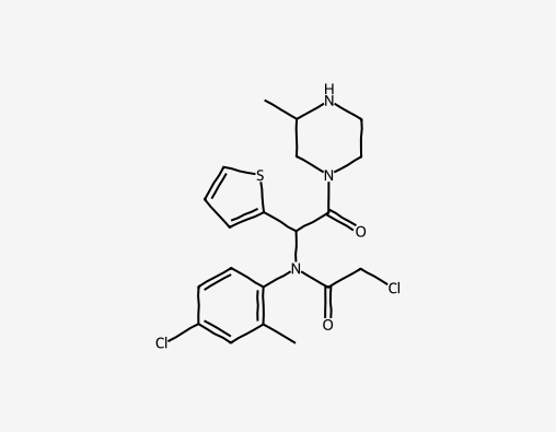 Cc1cc(Cl)ccc1N(C(=O)CCl)C(C(=O)N1CCNC(C)C1)c1cccs1